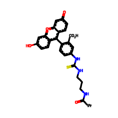 CC(C)C(=O)NCCCNC(=S)Nc1ccc(-c2c3ccc(=O)cc-3oc3cc(O)ccc23)c(C(=O)O)c1